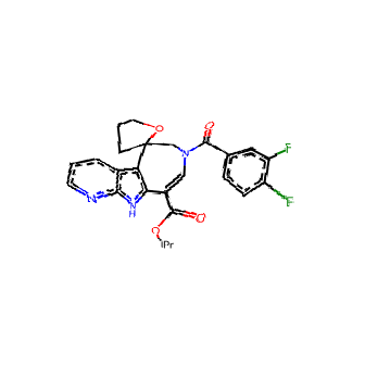 CC(C)OC(=O)C1=CN(C(=O)c2ccc(F)c(F)c2)CC2(CCCO2)c2c1[nH]c1ncccc21